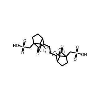 CC1(C)C2CCC1(CS(=O)(=O)O)C(=O)C2CCC1C(=O)C2(CS(=O)(=O)O)CCC1C2(C)C